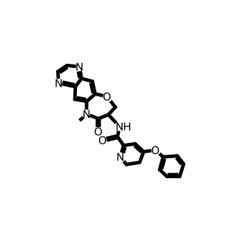 CN1C(=O)C(NC(=O)C2=NCCC(Oc3ccccc3)=C2)COc2cc3nccnc3cc21